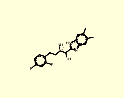 Cc1cc2nc(C(O)[C@H](N)CCc3ccc(F)cc3F)[nH]c2cc1C